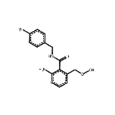 COCc1ccnc(N)c1C(=O)NCc1ccc(Br)cc1